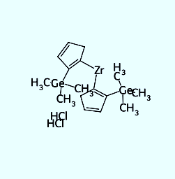 Cl.Cl.[CH3][Ge]([CH3])([CH3])[C]1=[C]([Zr][C]2=[C]([Ge]([CH3])([CH3])[CH3])C=CC2)CC=C1